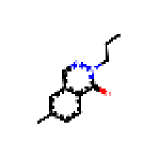 CCCn1ncc2cc(C)ccc2c1=O